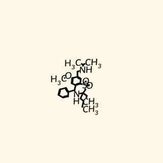 CCCCC1(CC)CS(=O)(=O)c2cc(CNC(C)C)c(OC)cc2C(c2ccccc2)N1